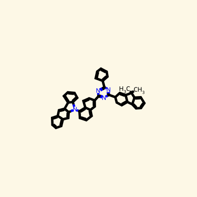 CC1(C)C2=CC(c3nc(-c4ccccc4)nc(-c4ccc5c(-n6c7ccccc7c7cc8ccccc8cc76)cccc5c4)n3)CC=C2c2ccccc21